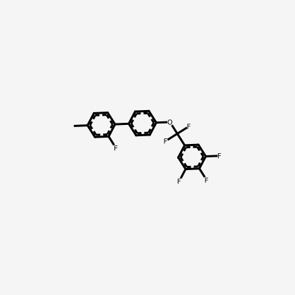 Cc1ccc(-c2ccc(OC(F)(F)c3cc(F)c(F)c(F)c3)cc2)c(F)c1